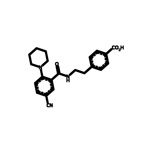 N#Cc1ccc(N2CCCCC2)c(C(=O)NCCc2ccc(C(=O)O)cc2)c1